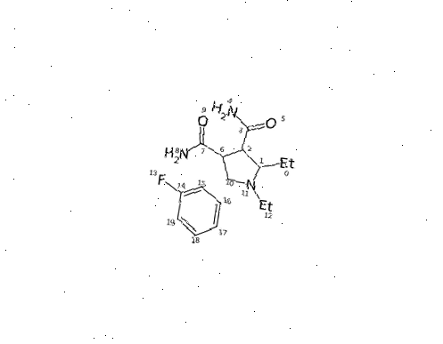 CCC1C(C(N)=O)C(C(N)=O)CN1CC.Fc1ccccc1